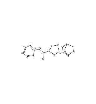 C1CN2CCC1CC2.O=C(Oc1ccccc1)C1CCCC1